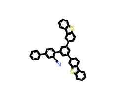 N#Cc1cc(-c2ccccc2)ccc1-c1cc(-c2ccc3c(c2)sc2ccccc23)cc(-c2ccc3sc4ccccc4c3c2)c1